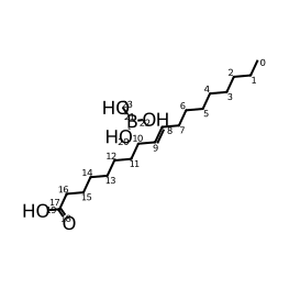 CCCCCCCCC=CCCCCCCCC(=O)O.OB(O)O